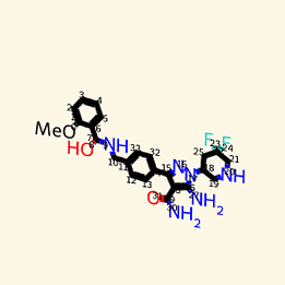 COc1ccccc1C(O)NCc1ccc(-c2nn(C3CNCC(F)(F)C3)c(N)c2C(N)=O)cc1